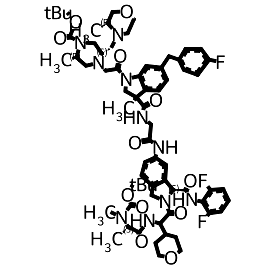 C[C@@H]1COCCN1C[C@H]1CN(C(=O)OC(C)(C)C)[C@H](C)CN1CC(=O)N1CC(C)(C(=O)NCC(=O)Nc2ccc3c(c2)[C@@H](C(=O)Nc2c(F)cccc2F)N(C(=O)C(NC(=O)[C@H](C)N(C)C(=O)OC(C)(C)C)C2CCOCC2)C3)c2ccc(Cc3ccc(F)cc3)cc21